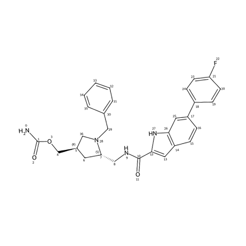 NC(=O)OC[C@@H]1C[C@@H](CNC(=O)c2cc3ccc(-c4ccc(F)cc4)cc3[nH]2)N(Cc2ccccc2)C1